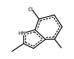 Cc1cc2c(C)ccc(Cl)c2[nH]1